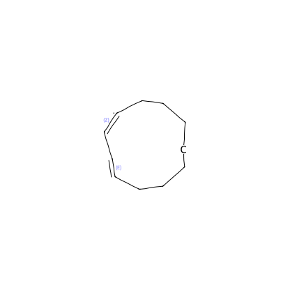 [C]1=C\C=C\CCCCCCC/1